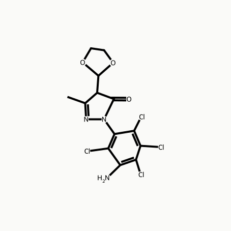 CC1=NN(c2c(Cl)c(N)c(Cl)c(Cl)c2Cl)C(=O)C1C1OCCO1